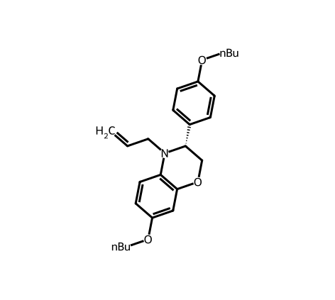 C=CCN1c2ccc(OCCCC)cc2OC[C@H]1c1ccc(OCCCC)cc1